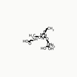 C=CCOc1nc(OCC=C)nc(OCC=C)n1.CC(O)CO.O=C(O)CCS